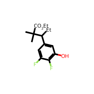 CCOC(=O)C(C)(C)C(CC)c1cc(O)c(F)c(F)c1